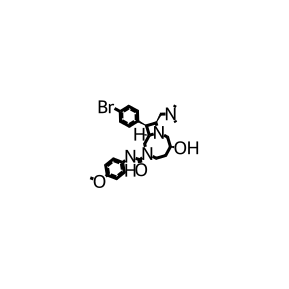 COc1ccc(NC(=O)N2CC[C@H](O)CN3[C@H](CN(C)C)[C@H](c4ccc(Br)cc4)[C@@H]3C2)cc1